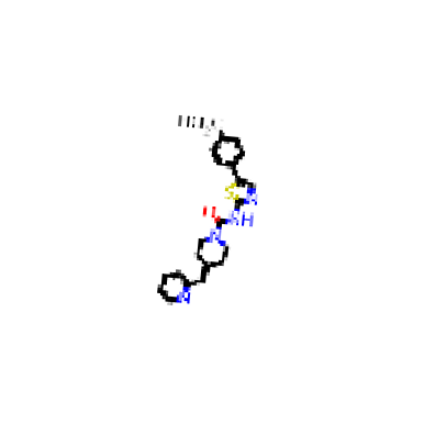 O=C(O)c1ccc(-c2cnc(NC(=O)N3CCC(=Cc4ccccn4)CC3)s2)cc1